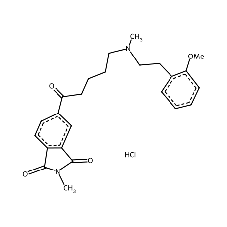 COc1ccccc1CCN(C)CCCCC(=O)c1ccc2c(c1)C(=O)N(C)C2=O.Cl